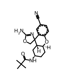 CC(C)(C)C(=O)N[C@@H]1CC[C@@H]2Oc3ccc(C#N)cc3C3(COC(N)=N3)[C@H]2C1